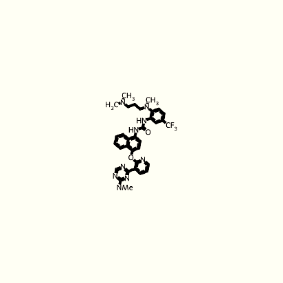 CNc1ncnc(-c2cccnc2Oc2ccc(NC(=O)Nc3cc(C(F)(F)F)ccc3N(C)CCCN(C)C)c3ccccc23)n1